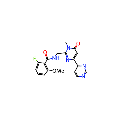 COc1cccc(F)c1C(=O)NCc1nc(-c2ccncn2)cc(=O)n1C